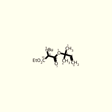 C=CC(C)(C)OC(=O)C(CCCC)C(=O)OCC